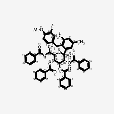 COc1ccc(Cc2c(C)cc(C)cc2[C@@]2(O)O[C@H]([C@H](C)OC(=O)c3ccccc3)[C@@H](OC(=O)c3ccccc3)[C@H](OC(=O)c3ccccc3)[C@H]2OC(=O)c2ccccc2)cc1F